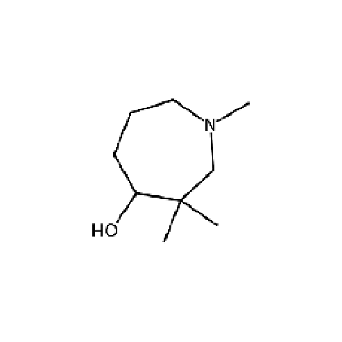 CN1CCCC(O)C(C)(C)C1